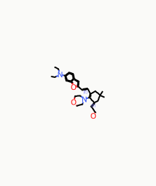 CCN(CC)c1ccc2cc(/C=C/C3=C(N4CCOCC4)C(=C/C=O)/CC(C)(C)C3)oc2c1